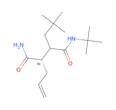 C=CC[C@H](C(N)=O)C(CC(C)(C)C)C(=O)NC(C)(C)C